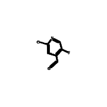 O=Cc1cc(Cl)ncc1F